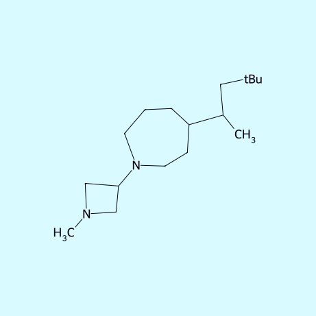 CC(CC(C)(C)C)C1CCCN(C2CN(C)C2)CC1